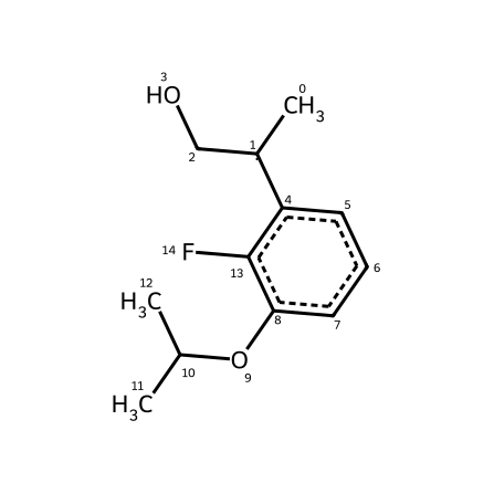 C[C](CO)c1cccc(OC(C)C)c1F